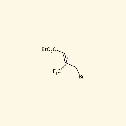 CCOC(=O)/C=C(/CBr)C(F)(F)F